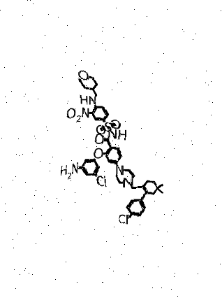 CC1(C)CCC(CN2CCN(c3ccc(C(=O)NS(=O)(=O)c4ccc(NCC5CCOCC5)c([N+](=O)[O-])c4)c(Oc4cc(N)cc(Cl)c4)c3)CC2)=C(c2ccc(Cl)cc2)C1